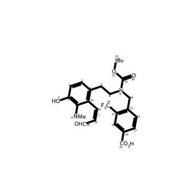 CNc1c(O)ccc(CCN(Cc2ccc(C(=O)O)cc2C(F)(F)F)C(=O)OC(C)(C)C)c1/C=C\C=O